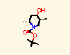 C[C@@H]1C[C@@H](O)[C@@H](C)CN1C(=O)OC(C)(C)C